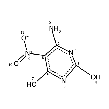 Nc1nc(O)nc(O)c1[N+](=O)[O-]